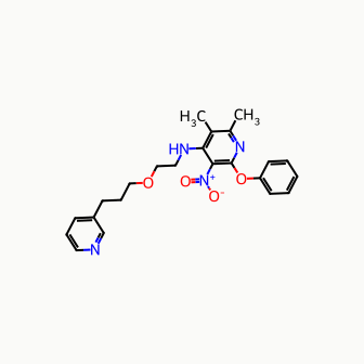 Cc1nc(Oc2ccccc2)c([N+](=O)[O-])c(NCCOCCCc2cccnc2)c1C